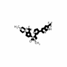 CN1CCN(c2ccc(-n3c(-c4cc(-c5cnc6[nH]c(C(F)(F)F)cc6c5)ccn4)cn(C)c3=O)cc2C(F)(F)F)CC1